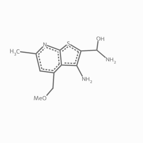 COCc1cc(C)nc2sc(C(N)O)c(N)c12